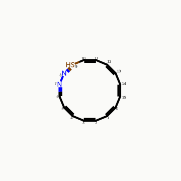 C1=CC=CC=CC=NN=[SH]C=CC=CC=C1